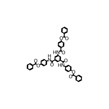 O=C(Nc1cc(C(=O)Nc2ccc(OC(=O)c3ccccc3)cc2)cc(C(=O)Nc2ccc(OC(=O)c3ccccc3)cc2)c1)c1ccc(OC(=O)c2ccccc2)cc1